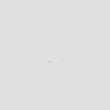 NC(=O)N(c1nc2c(c(C(F)(F)F)n1)CCCC2)c1ccccc1F